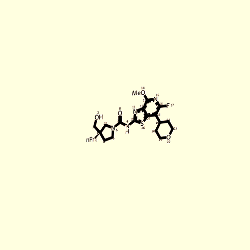 CCC[C@]1(CO)CCN(C(=O)Nc2nc3c(OC)nc(F)c(C4CCOCC4)c3s2)C1